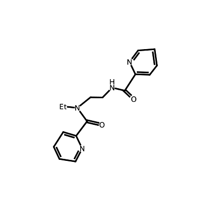 [CH2]CN(CCNC(=O)c1ccccn1)C(=O)c1ccccn1